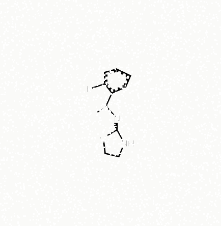 C[C@H](/N=C1/NCCO1)c1ccccc1F